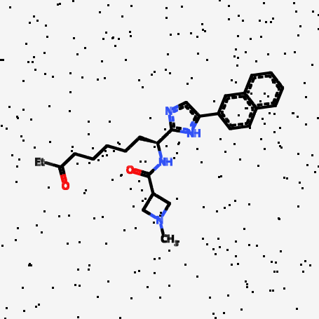 CCC(=O)CCCCC[C@H](NC(=O)C1CN(C)C1)c1ncc(-c2ccc3ccccc3c2)[nH]1